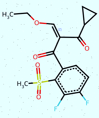 CCO/C=C(\C(=O)c1ccc(F)c(F)c1S(C)(=O)=O)C(=O)C1CC1